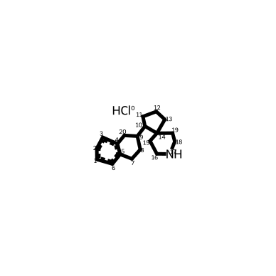 Cl.c1ccc2c(c1)CCC(C1CCCC13CCNCC3)C2